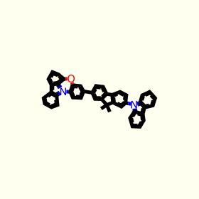 CC1(C)c2cc(-c3ccc4c(c3)Oc3cccc5c6ccccc6n-4c35)ccc2-c2ccc(-n3c4ccccc4c4ccccc43)cc21